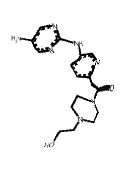 Nc1cnc(Nc2ccc(C(=O)N3CCN(CCO)CC3)nc2)nc1